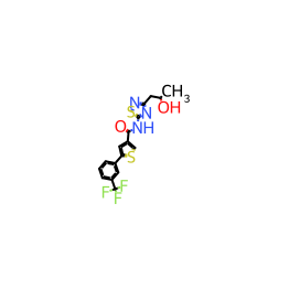 CC(O)Cc1nsc(NC(=O)c2csc(-c3cccc(C(F)(F)F)c3)c2)n1